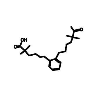 CC(=O)C(C)(C)CCCCc1ccccc1CCCCC(C)(C)C(=O)O